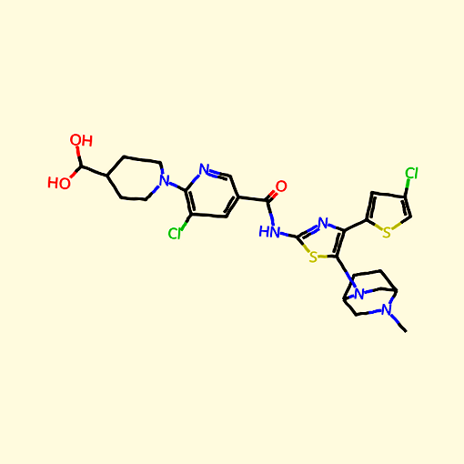 CN1CC2CCC1CN2c1sc(NC(=O)c2cnc(N3CCC(C(O)O)CC3)c(Cl)c2)nc1-c1cc(Cl)cs1